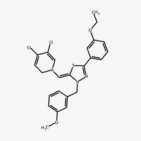 CCOc1cccc(C2=NN(Cc3cccc(OC)c3)C(=CN3C=C(Cl)C(Cl)=CC3)S2)c1